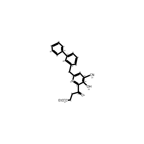 CCOC(=O)CCC(=O)c1nc(Cc2cccc(-c3ccccc3)c2)cc(C#N)c1O